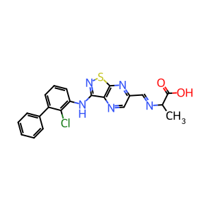 CC(N=Cc1cnc2c(Nc3cccc(-c4ccccc4)c3Cl)nsc2n1)C(=O)O